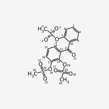 CS(=O)(=O)Oc1ccccc1C(=O)c1cccc(OS(C)(=O)=O)c1OS(C)(=O)=O